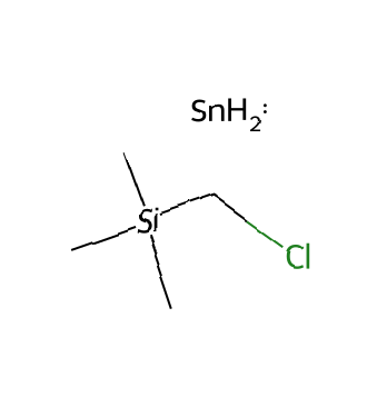 C[Si](C)(C)CCl.[SnH2]